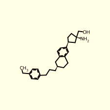 CCc1ccc(CCC[C@@H]2CCc3cc([C@H]4CC[C@](N)(CO)C4)ccc3C2)cc1